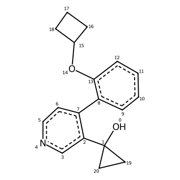 OC1(c2cnccc2-c2ccccc2OC2CCC2)CC1